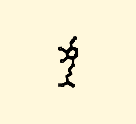 O=Cc1ccc(OCCCC(=O)O)c(Cl)c1Cl